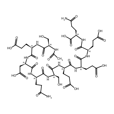 CC(=O)N[C@H](CO)C(=O)N[C@H](CCC(=O)O)C(=O)N[C@H](CC(=O)O)C(=O)N[C@H](CCC(N)=O)C(=O)N[C@H](CO)C(=O)N[C@H](CCC(=O)O)C(=O)N[C@H](CCC(=O)O)C(=O)N[C@H](CCC(=O)O)C(=O)N[C@H](CCC(N)=O)C(=O)O